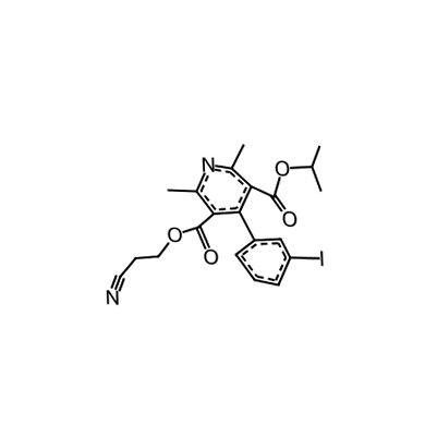 Cc1nc(C)c(C(=O)OC(C)C)c(-c2cccc(I)c2)c1C(=O)OCCC#N